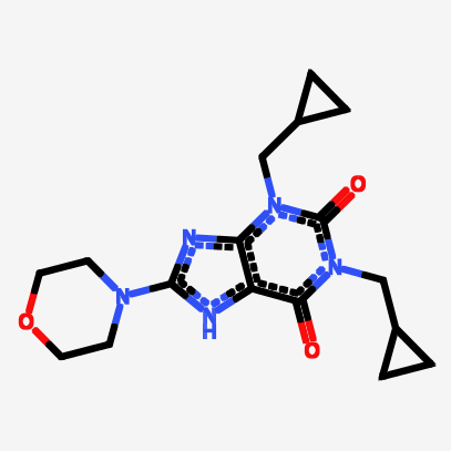 O=c1c2[nH]c(N3CCOCC3)nc2n(CC2CC2)c(=O)n1CC1CC1